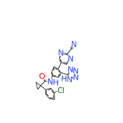 N#Cc1ncc(-c2ccc(NC(=O)C3(c4cccc(Cl)c4)CC3)cc2-c2nnn[nH]2)cn1